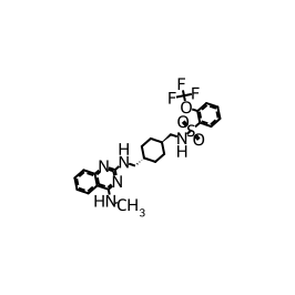 CNc1nc(NC[C@H]2CC[C@H](CNS(=O)(=O)c3ccccc3OC(F)(F)F)CC2)nc2ccccc12